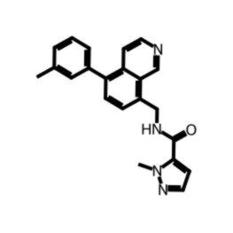 Cc1cccc(-c2ccc(CNC(=O)c3ccnn3C)c3cnccc23)c1